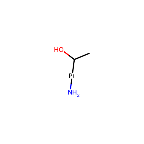 C[CH](O)[Pt][NH2]